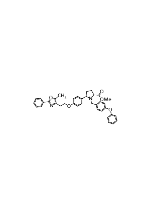 COC(=O)[C@H]1CC[C@H](c2ccc(OCCc3nc(-c4ccccc4)oc3C)cc2)N1Cc1ccc(Oc2ccccc2)cc1